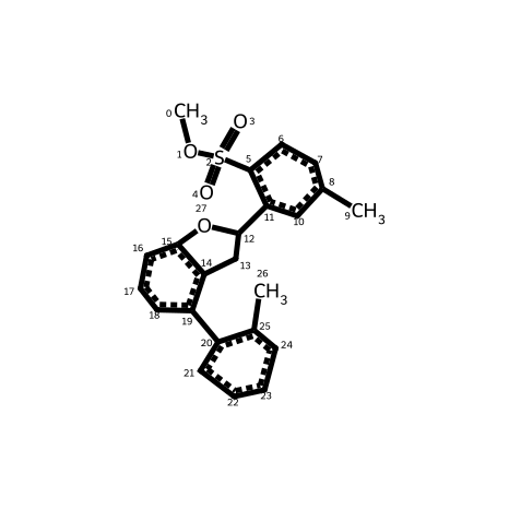 COS(=O)(=O)c1ccc(C)cc1C1Cc2c(cccc2-c2ccccc2C)O1